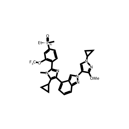 CC[P@@](C)(=O)c1ccc(-c2nc(-c3cccc4nn(-c5cn(C6CC6)nc5OC)cc34)c(C3CC3)n2C)c(OC(F)(F)F)c1